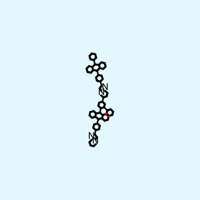 c1ccc(-c2cc(-c3ccc4nc(-c5ccc(-c6c7ccccc7c(-c7ccccc7)c7ccccc67)cc5)cn4c3)ccc2-c2c3ccccc3c(-c3ccc(-c4cn5ccccc5n4)cc3)c3ccccc23)cc1